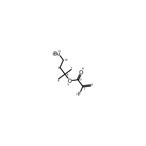 C=C(F)C(=O)OC(C)(C)CCC(C)CC